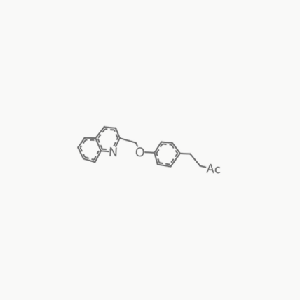 CC(=O)CCc1ccc(OCc2ccc3ccccc3n2)cc1